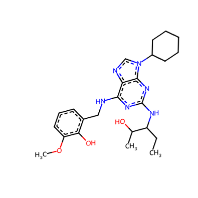 CCC(Nc1nc(NCc2cccc(OC)c2O)c2ncn(C3CCCCC3)c2n1)C(C)O